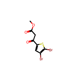 COC(=O)CC(=O)c1cc(Br)c(Br)s1